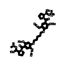 COc1cc(OCCCCCOc2cc(OC)c(C(=O)N3CCC[C@H]3C(O[SiH](C)C)C(C)(C)C)cc2N=C=O)c(N=C=O)cc1C(=O)N1CCCC1C(O[SiH](C)C)C(C)(C)C